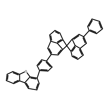 c1ccc(-c2cc3c4c(cccc4c2)C32c3cccc4cc(-c5ccc(-c6cccc7c6oc6ccccc67)cc5)cc2c34)cc1